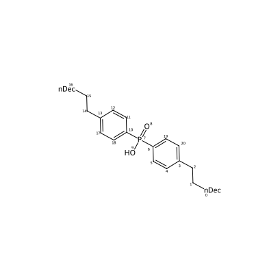 CCCCCCCCCCCCc1ccc(P(=O)(O)c2ccc(CCCCCCCCCCCC)cc2)cc1